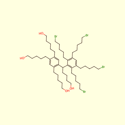 OCCCCCc1cc(CCCCCO)c(C(CCCCO)c2c(CCCCCBr)c(CCCCCBr)cc(CCCCCBr)c2CCCCCBr)cc1CCCCCO